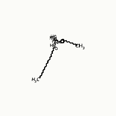 CCC=CCC=CCC=CCC=CCC=CCC=CCCC(=O)NCC(=O)NC(CO)(CO)CCc1ccc(CCCCCCCC)cc1